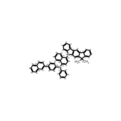 CC1(C)c2ccccc2-c2cc3c4ccccc4n(-c4ccc(N(c5ccccc5)c5ccc(-c6ccc7ccccc7c6)cc5)c5ccccc45)c3cc21